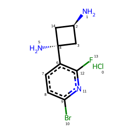 Cl.N[C@H]1C[C@@](N)(c2ccc(Br)nc2F)C1